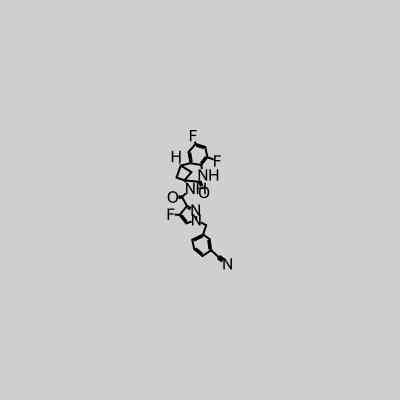 N#Cc1cccc(Cn2cc(F)c(C(=O)N[C@]34C[C@@H](C3)c3cc(F)cc(F)c3NC4=O)n2)c1